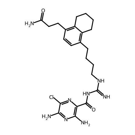 N=C(NCCCCc1ccc(CCC(N)=O)c2c1CCCC2)NC(=O)c1nc(Cl)c(N)nc1N